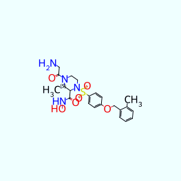 Cc1ccccc1COc1ccc(S(=O)(=O)N2CCN(C(=O)CN)[C@@H](C)C2C(=O)NO)cc1